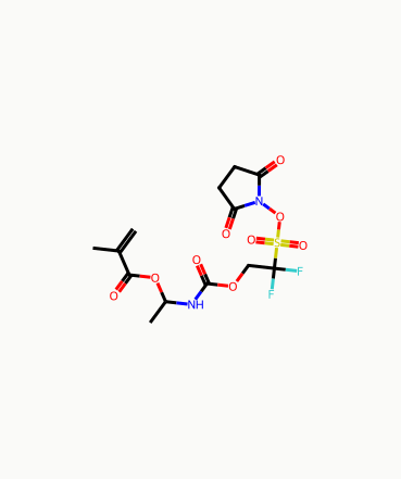 C=C(C)C(=O)OC(C)NC(=O)OCC(F)(F)S(=O)(=O)ON1C(=O)CCC1=O